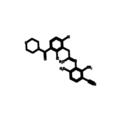 C/C(Cc1c(Cl)ccc(C(=O)N2CCOCC2)c1Cl)=N\c1c(C)ccc(C#N)c1C